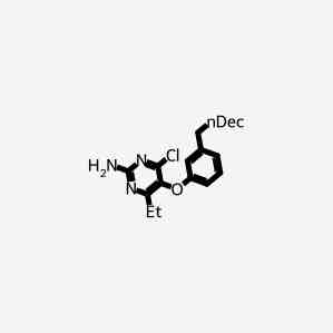 CCCCCCCCCCCc1cccc(Oc2c(Cl)nc(N)nc2CC)c1